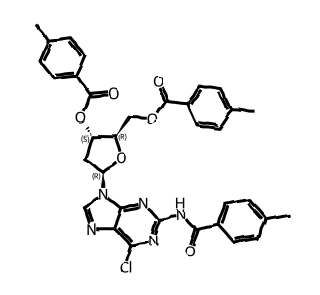 Cc1ccc(C(=O)Nc2nc(Cl)c3ncn([C@H]4C[C@H](OC(=O)c5ccc(C)cc5)[C@@H](COC(=O)c5ccc(C)cc5)O4)c3n2)cc1